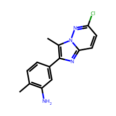 Cc1ccc(-c2nc3ccc(Cl)nn3c2C)cc1N